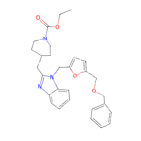 CCOC(=O)N1CCC(Cc2nc3ccccc3n2Cc2ccc(COCc3ccccc3)o2)CC1